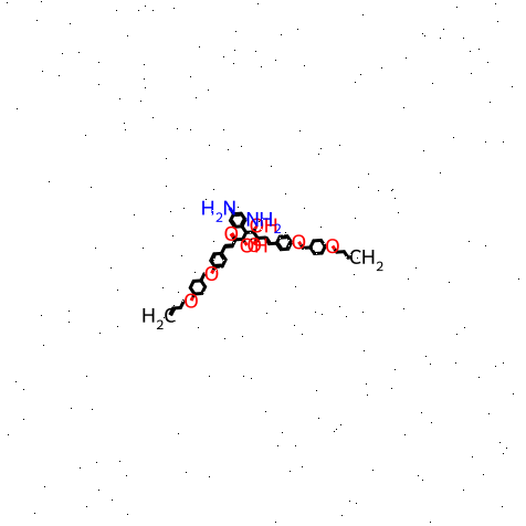 C=CCCOC1CCC(COc2ccc(/C=C/C(=O)C(O)C(c3ccc(N)cc3N)C(O)C(=O)/C=C/c3ccc(OCC4CCC(OCCC=C)CC4)cc3)cc2)CC1